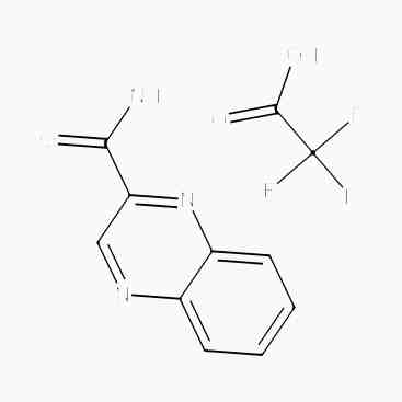 NC(=O)c1cnc2ccccc2n1.O=C(O)C(F)(F)F